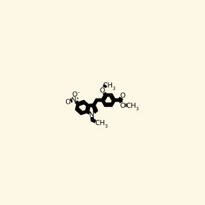 CCn1cc(Cc2ccc(C(=O)OC)cc2OC)c2cc([N+](=O)[O-])ccc21